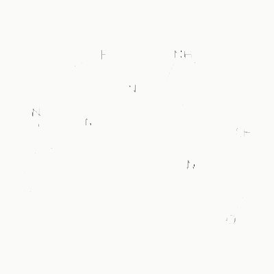 CC1COCCN1c1cc(N)nc(-n2c(CF)nc3ccccc32)c1